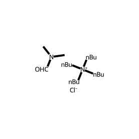 CCCC[N+](CCCC)(CCCC)CCCC.CN(C)C=O.[Cl-]